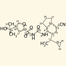 CC(c1cc(C#N)c2c(c1NC(=O)NS(=O)(=O)c1cc(C(C)(C)O)co1)CCC2)C1CC1